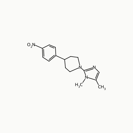 Cc1cnc(N2CCC(c3ccc([N+](=O)[O-])cc3)CC2)n1C